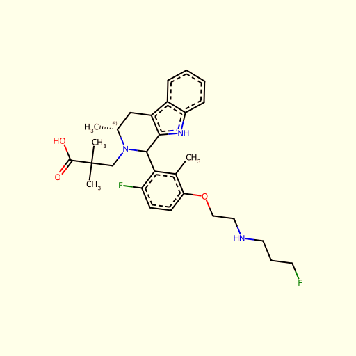 Cc1c(OCCNCCCF)ccc(F)c1C1c2[nH]c3ccccc3c2C[C@@H](C)N1CC(C)(C)C(=O)O